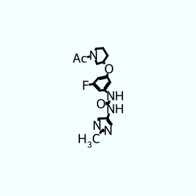 CC(=O)N1CCCC(Oc2cc(F)cc(NC(=O)Nc3cnc(C)nc3)c2)C1